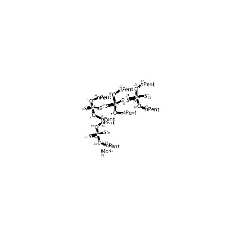 CCCCCOP(=S)([S-])OCCCCC.CCCCCOP(=S)([S-])OCCCCC.CCCCCOP(=S)([S-])OCCCCC.CCCCCOP(=S)([S-])OCCCCC.[Mo+4]